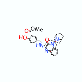 COC(=O)c1cc(CNc2nc3ccccc3n(C3CC4CCC(C3)N4C3CCCCCCC3)c2=O)ccc1O